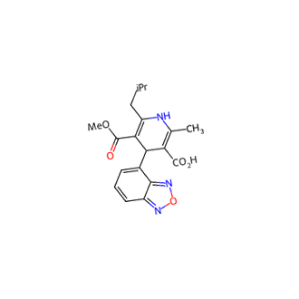 COC(=O)C1=C(CC(C)C)NC(C)=C(C(=O)O)C1c1cccc2nonc12